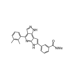 CNC(=O)c1cccc(-c2cc3c(nc(-c4cccc(C)c4C)c4cn[nH]c43)[nH]2)c1